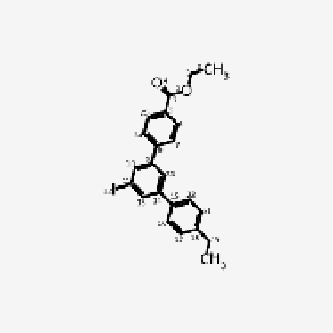 CCOC(=O)c1ccc(-c2cc(I)cc(-c3ccc(CC)cc3)c2)cc1